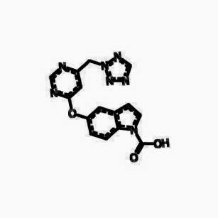 O=C(O)n1ccc2cc(Oc3cc(Cn4ncnn4)ncn3)ccc21